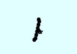 Brc1cc2cc(-c3ccc(-c4ccc5ccccc5c4)cc3)ccc2c2ccc(-c3ccc(-c4ccc5ccccc5c4)cc3)cc12